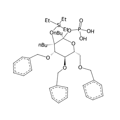 CCCC[C@]1(OP(=O)(O)O)O[C@H](COCc2ccccc2)[C@@H](OCc2ccccc2)[C@H](OCc2ccccc2)[C@@]1(CCCC)O[Si](CC)(CC)CC